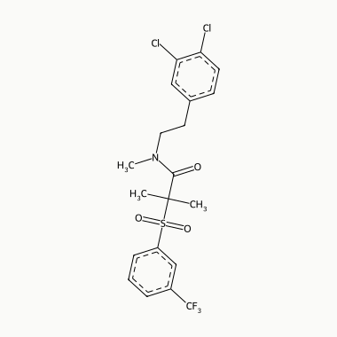 CN(CCc1ccc(Cl)c(Cl)c1)C(=O)C(C)(C)S(=O)(=O)c1cccc(C(F)(F)F)c1